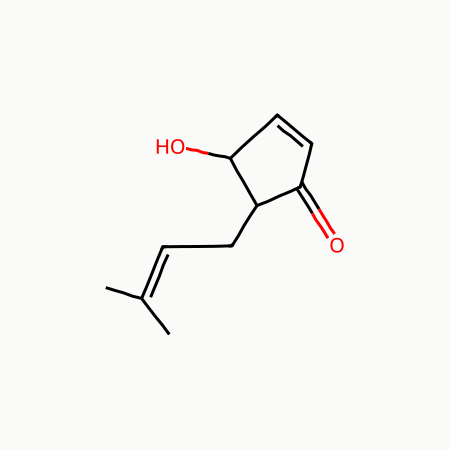 CC(C)=CCC1C(=O)C=CC1O